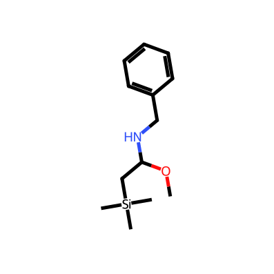 COC(C[Si](C)(C)C)NCc1ccccc1